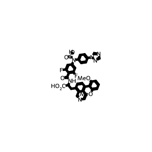 COc1cccc(OC)c1-c1ccc(CC(NC(=O)c2c(F)cc(N(c3ccc(-n4cncn4)cc3)[SH](=O)=O)cc2F)C(=O)O)c2cnccc12